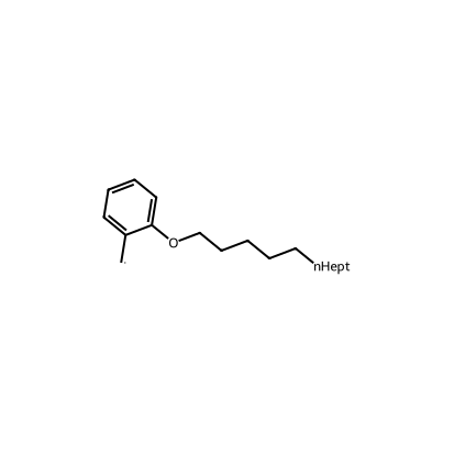 [CH2]c1ccccc1OCCCCCCCCCCCC